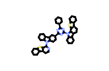 c1ccc(-c2nc(-c3ccc4c(c3)c3ccccc3n4-c3nccc4c3sc3ccccc34)nc(-n3c4ccccc4c4ccc5c6ccccc6sc5c43)n2)cc1